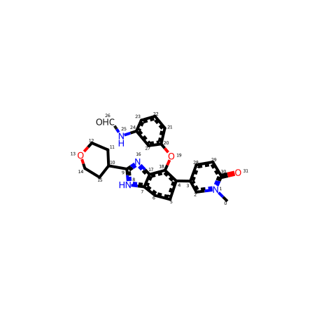 Cn1cc(-c2ccc3[nH]c(C4CCOCC4)nc3c2Oc2cccc(NC=O)c2)ccc1=O